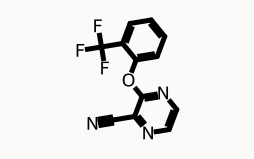 N#Cc1nccnc1Oc1ccccc1C(F)(F)F